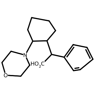 O=C(O)C(c1ccccc1)C1CCCCC1N1CCOCC1